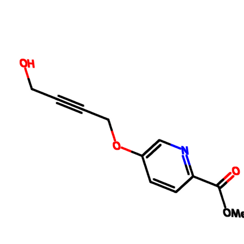 COC(=O)c1ccc(OCC#CCO)cn1